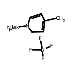 CCCCCCN1C=CC(C)=CC1.F[B-](F)(F)F.[H+]